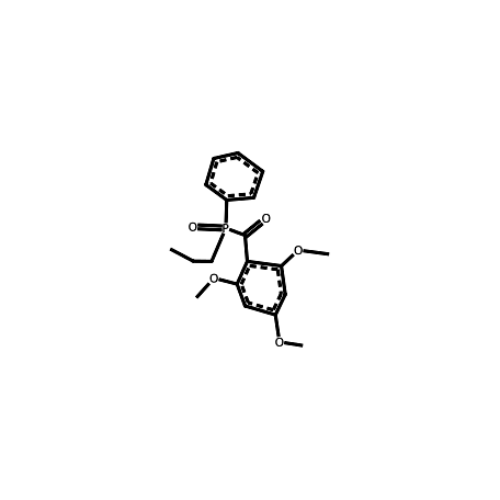 CCCP(=O)(C(=O)c1c(OC)cc(OC)cc1OC)c1ccccc1